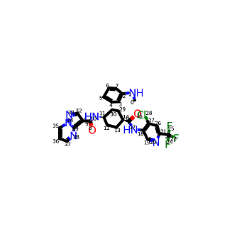 CNc1ccccc1.O=C(N[C@H]1CC[C@H](C(=O)Nc2cnc(C(F)(F)F)cc2Cl)CC1)c1cnn2cccnc12